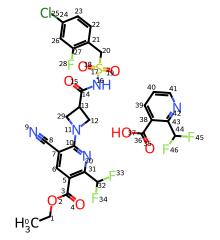 CCOC(=O)c1cc(C#N)c(N2CC(C(=O)NS(=O)(=O)Cc3ccc(Cl)cc3F)C2)nc1C(F)F.O=C(O)c1cccnc1C(F)F